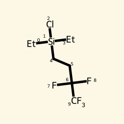 CC[Si](Cl)(CC)CCC(F)(F)C(F)(F)F